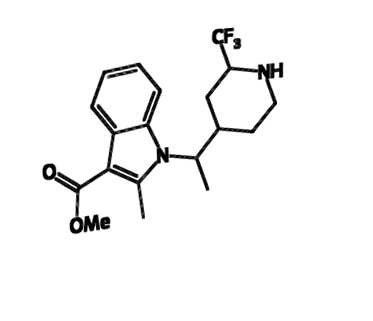 COC(=O)c1c(C)n(C(C)C2CCNC(C(F)(F)F)C2)c2ccccc12